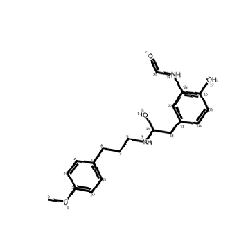 COc1ccc(CCCNC(O)Cc2ccc(O)c(NC=O)c2)cc1